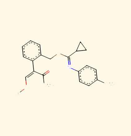 CCOC=C(C(=O)OC)c1ccccc1CSC(=Nc1ccc(OC)cc1)C1CC1